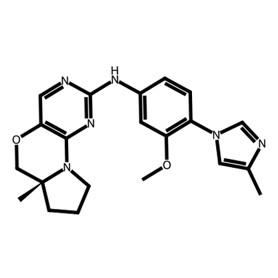 COc1cc(Nc2ncc3c(n2)N2CCC[C@]2(C)CO3)ccc1-n1cnc(C)c1